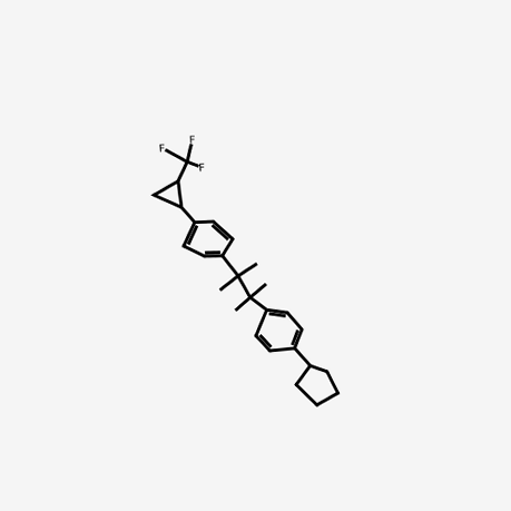 CC(C)(c1ccc(C2CCCC2)cc1)C(C)(C)c1ccc(C2CC2C(F)(F)F)cc1